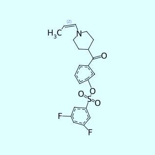 C/C=C\N1CCC(C(=O)c2cccc(OS(=O)(=O)c3cc(F)cc(F)c3)c2)CC1